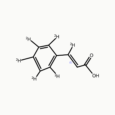 [2H]/C(=C\C(=O)O)c1c([2H])c([2H])c([2H])c([2H])c1[2H]